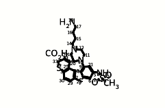 CS(=O)(=O)Nc1cccc(N2CCN(CCCCN)CC2)c1.O=C(O)C1=Cc2cc(F)ccc2SC1